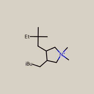 CCC(C)CC1C[N+](C)(C)CC1CC(C)(C)CC